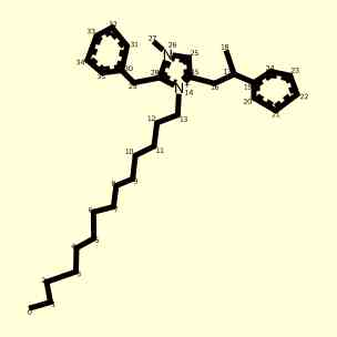 CCCCCCCCCCCCCC[n+]1c(CC(C)c2ccccc2)cn(C)c1Cc1ccccc1